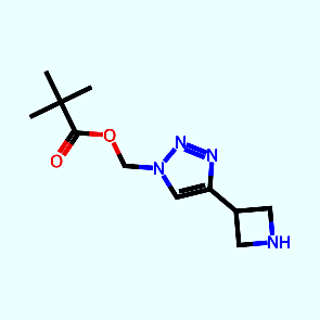 CC(C)(C)C(=O)OCn1cc(C2CNC2)nn1